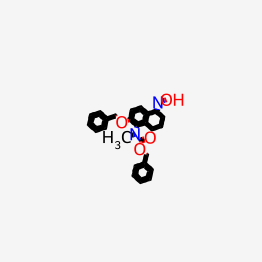 CN(C(=O)OCc1ccccc1)c1c(OCc2ccccc2)ccc2c1CCCC2=NO